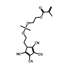 C=C(C)C(=O)OCCO[Si](C)(C)OCCC1C(C#N)=C(C#N)C(C#N)=C1C#N